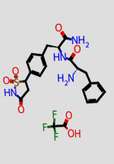 NC(=O)[C@H](Cc1ccc(C2CC(=O)NS2(=O)=O)cc1)NC(=O)[C@@H](N)Cc1ccccc1.O=C(O)C(F)(F)F